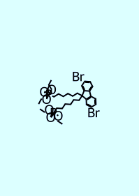 CCOP(=O)(CCCCCCC1(CCCCCCP(=O)(OCC)OCC)c2cc(Br)ccc2-c2ccc(Br)cc21)OCC